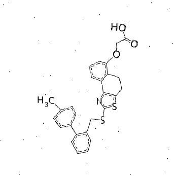 Cc1ccc(-c2ccccc2CSc2nc3c(s2)CCc2c(OCC(=O)O)cccc2-3)cc1